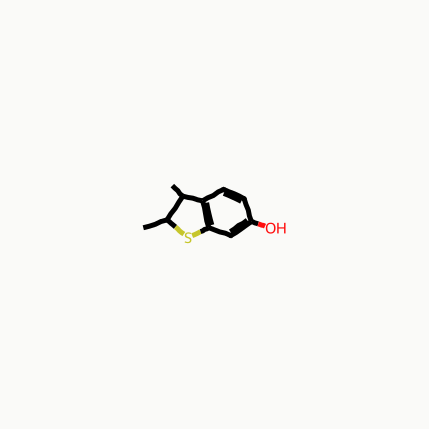 CC1Sc2cc(O)ccc2C1C